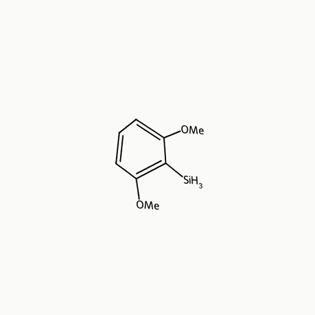 COc1cccc(OC)c1[SiH3]